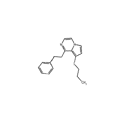 CCCSc1ccn2ccnc(CCc3ccccc3)c12